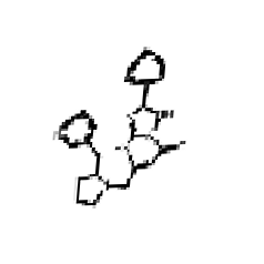 O=C1C=C(CN2CCCC2Cc2cccnc2)NC2=NC(c3ccccc3)NN12